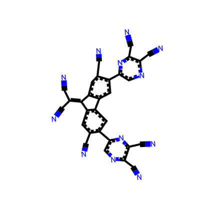 N#CC(C#N)=C1c2cc(C#N)c(-c3cnc(C#N)c(C#N)n3)cc2-c2cc(-c3cnc(C#N)c(C#N)n3)c(C#N)cc21